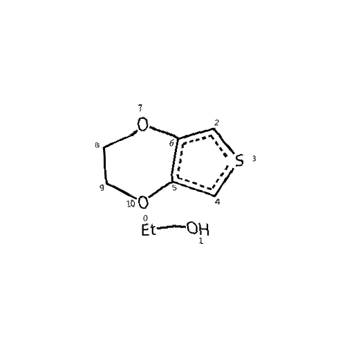 CCO.c1scc2c1OCCO2